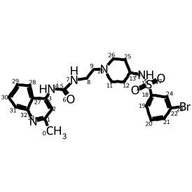 Cc1cc(NC(=O)NCCN2CCC(NS(=O)(=O)c3cccc(Br)c3)CC2)c2ccccc2n1